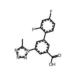 Cc1nnnn1-c1cc(C(=O)O)cc(-c2ccc(F)cc2F)c1